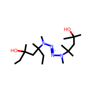 CCC(C)(O)CC(C)(CC)N(C)/N=N/N(C)C(C)(C)CC(C)(C)O